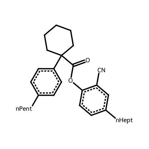 CCCCCCCc1ccc(OC(=O)C2(c3ccc(CCCCC)cc3)CCCCC2)c(C#N)c1